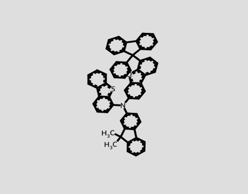 CC1(C)c2ccccc2-c2ccc(N(c3ccc4c(c3)oc3c(C5(c6ccccc6)c6ccccc6-c6ccccc65)cccc34)c3cccc4c3sc3ccccc34)cc21